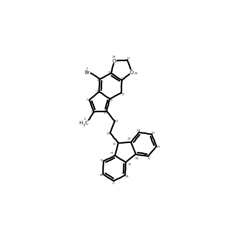 CC1=CC2=C(Br)C3=C(CC2=C1CCC1c2ccccc2-c2ccccc21)OCO3